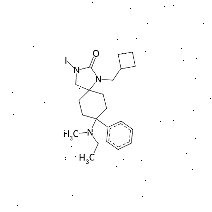 CCN(C)C1(c2ccccc2)CCC2(CC1)CN(I)C(=O)N2CC1CCC1